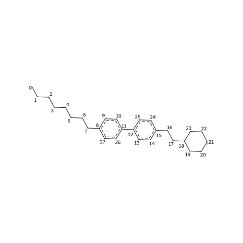 CCCCCCCCc1ccc(-c2ccc(CCC3CC[CH]CC3)cc2)cc1